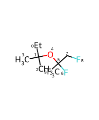 CCC(C)(C)OC(F)(CF)C(F)(F)F